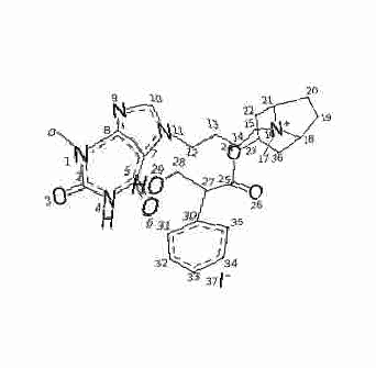 Cn1c(=O)[nH]c(=O)c2c1ncn2CCCC[N+]1(C)C2CCC1CC(OC(=O)C(CO)c1ccccc1)C2.[I-]